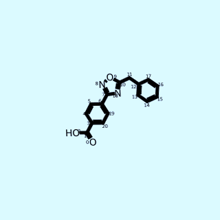 O=C(O)c1ccc(-c2noc(Cc3ccccc3)n2)cc1